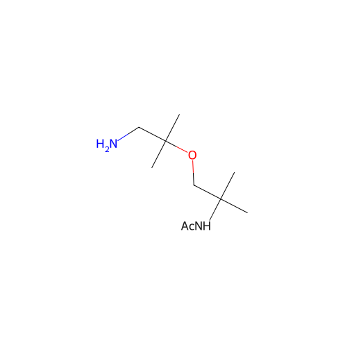 CC(=O)NC(C)(C)COC(C)(C)CN